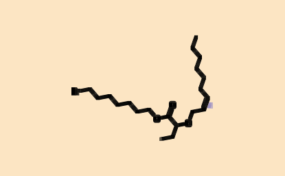 CCCCCC/C=C\COC(CC)C(=O)OCCCCCCCBr